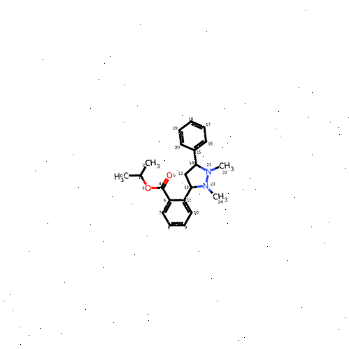 CC(C)OC(=O)c1ccccc1C1CC(c2ccccc2)N(C)N1C